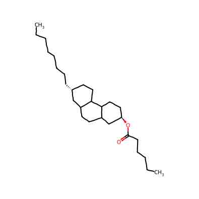 CCCCCCCC[C@@H]1CCC2C(CCC3C[C@H](OC(=O)CCCCC)CCC32)C1